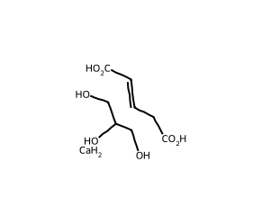 O=C(O)C=CCC(=O)O.OCC(O)CO.[CaH2]